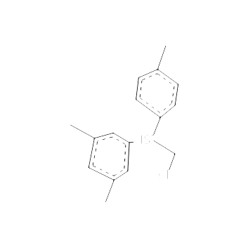 Cc1ccc([SiH](CCl)c2cc(C)cc(C)c2)cc1